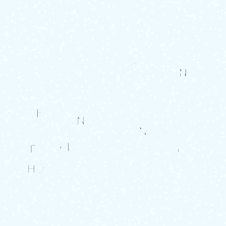 C=N/C=C\C1=C(CCl)CN(CC(/C=N\CC(F)F)=C/C(Cl)=C/O)C1=O